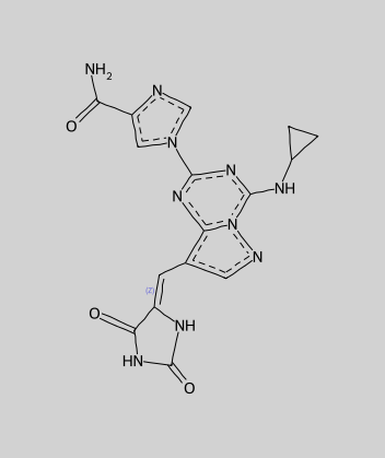 NC(=O)c1cn(-c2nc(NC3CC3)n3ncc(/C=C4\NC(=O)NC4=O)c3n2)cn1